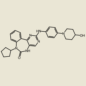 O=C1Nc2cnc(Nc3ccc(N4CCC(O)CC4)cc3)nc2-c2ccccc2N1C1CCCC1